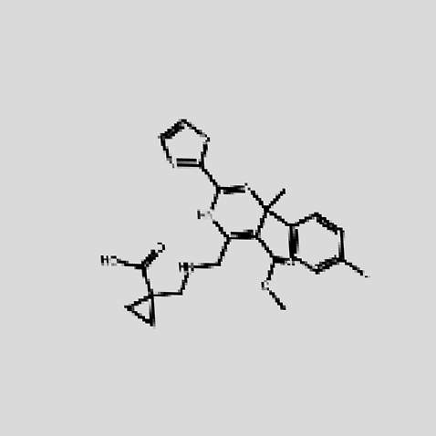 COC(=O)C1=C(CNCC2(C(=O)O)CC2)NC(c2nccs2)=NC1(C)c1ccc(F)cc1